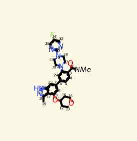 CNC(=O)c1ccc(-c2cc(OC3CCOCC3)c3c(C)n[nH]c3c2)cc1N1CCN(c2ncc(F)cn2)CC1